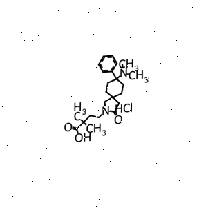 CN(C)C1(c2ccccc2)CCC2(CC1)CC(=O)N(CCC(C)(C)C(=O)O)C2.Cl